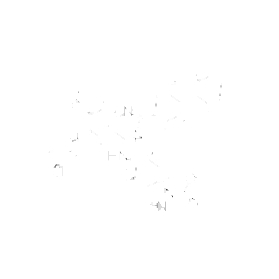 COc1cc2nc(-c3ccc(-c4ccccc4)c(F)c3)nc(Nc3ccc4c(cnn4C(=O)O)c3)c2cc1OCCCl